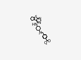 COC(=O)c1ccc(CN(C)C2CCC(Nc3ncnc4sc5c(c34)CCC5)CC2)cc1